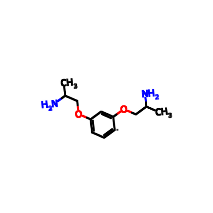 CC(N)COc1[c]ccc(OCC(C)N)c1